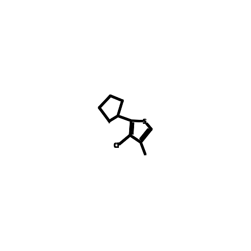 Cc1csc(C2[CH]CCC2)c1Cl